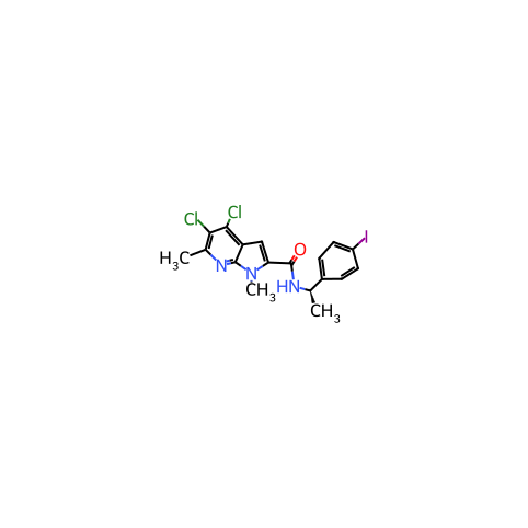 Cc1nc2c(cc(C(=O)N[C@H](C)c3ccc(I)cc3)n2C)c(Cl)c1Cl